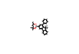 CC(C)OB(OC(C)(C)C)c1cc(-c2ccccc2)c2c(c1)-c1ccccc1C2(C)C